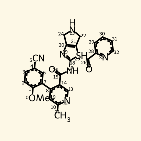 COc1ccc(C#N)cc1-c1cc(C)ncc1C(=O)NC1=NC2=C(CNC2)[SH]1C(=O)c1ccccn1